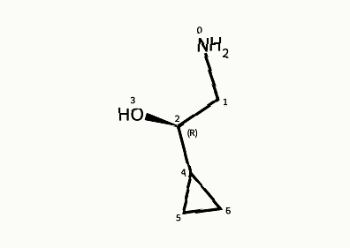 NC[C@H](O)C1CC1